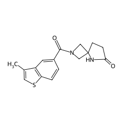 Cc1csc2ccc(C(=O)N3CC4(CCC(=O)N4)C3)cc12